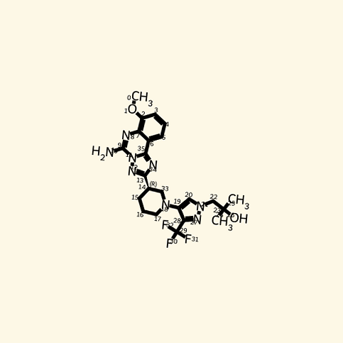 COc1cccc2c1nc(N)n1nc([C@@H]3CCCN(c4cn(CC(C)(C)O)nc4C(F)(F)F)C3)nc21